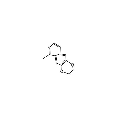 Cc1nccc2cc3c(cc12)OCCO3